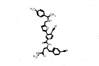 CNC(=O)CC(Cc1ccc(C#N)cc1)NC(=O)c1ccc(C#N)c(-c2ccc(CNC(C)c3ccc(C)cc3)o2)c1